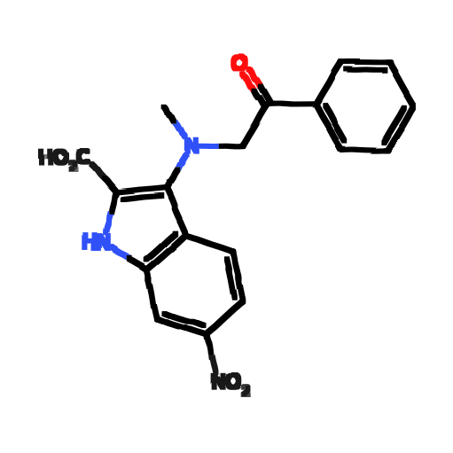 CN(CC(=O)c1ccccc1)c1c(C(=O)O)[nH]c2cc([N+](=O)[O-])ccc12